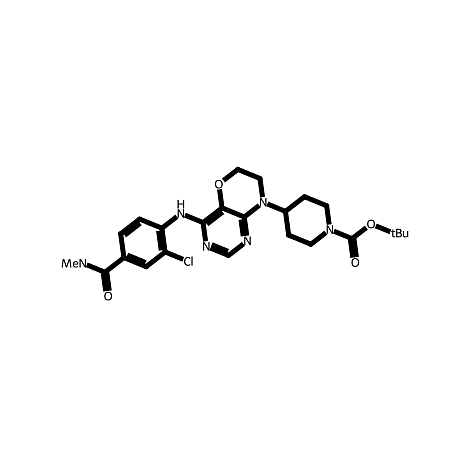 CNC(=O)c1ccc(Nc2ncnc3c2OCCN3C2CCN(C(=O)OC(C)(C)C)CC2)c(Cl)c1